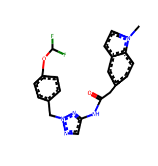 Cn1ccc2cc(CC(=O)Nc3cnn(Cc4ccc(OC(F)F)cc4)n3)ccc21